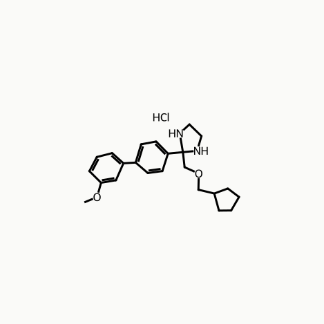 COc1cccc(-c2ccc(C3(COCC4CCCC4)NCCN3)cc2)c1.Cl